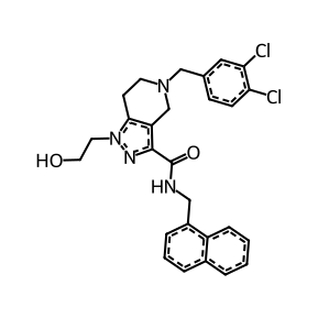 O=C(NCc1cccc2ccccc12)c1nn(CCO)c2c1CN(Cc1ccc(Cl)c(Cl)c1)CC2